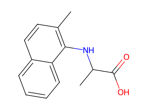 Cc1ccc2ccccc2c1NC(C)C(=O)O